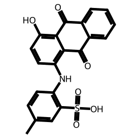 Cc1ccc(Nc2ccc(O)c3c2C(=O)c2ccccc2C3=O)c(S(=O)(=O)O)c1